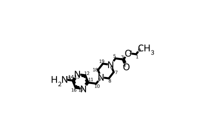 CCOC(=O)CN1CCN(Cc2cnc(N)cn2)CC1